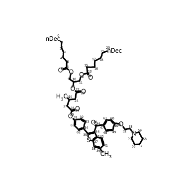 CCCCCCCCCCCCCCCC(=O)OCC(COC(=O)CCCCCCCCCCCCCCC)OC(=O)CC(C)CC(=O)Oc1ccc(-c2sc3cc(C)ccc3c2C(=O)c2ccc(OCCN3CCCCC3)cc2)cc1